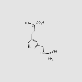 N=C(N)NCc1cccc(CC[C@H](N)C(=O)O)c1